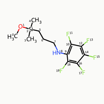 CO[Si](C)(C)CCCNc1c(F)c(F)c(F)c(F)c1F